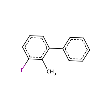 Cc1c(I)cccc1-c1ccccc1